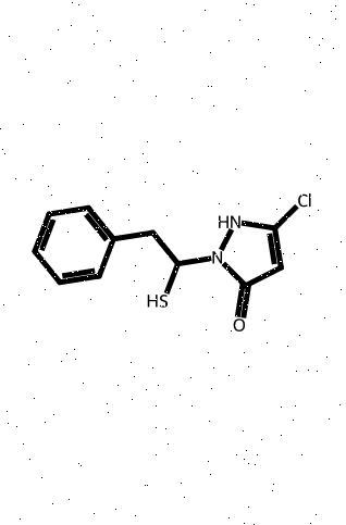 O=c1cc(Cl)[nH]n1C(S)Cc1ccccc1